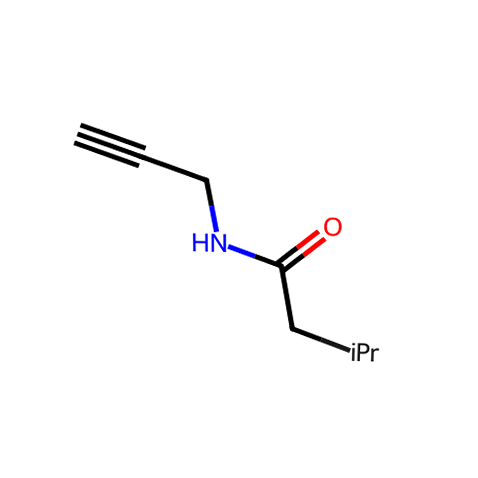 C#CCNC(=O)CC(C)C